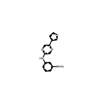 CC(=O)Nc1cccc(Nc2cnc(-c3ccsc3)cn2)c1